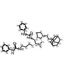 CN(C[C@@H]1CCCN1CCC12CC3CC(CC(C3)C1)C2)[C@H](CCCCNC(=O)Nc1ccccc1)CNC(=O)Nc1ccccc1